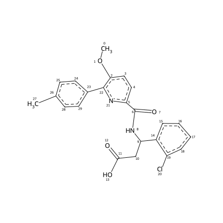 COc1ccc(C(=O)NC(CC(=O)O)c2ccccc2Cl)nc1-c1ccc(C)cc1